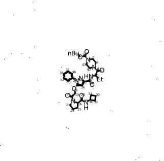 CCCCOC(=O)N1CCN(C(=O)C(CC)NC(=O)c2cc(OCC(=O)N3CCCC3C(=O)NC3CCC3)n(-c3ccccc3)n2)CC1